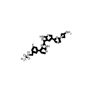 CS(=O)(=O)NCc1cc(F)cc(-c2ccnc3[nH]c(-c4n[nH]c5ncc(-c6cncc(N7CC(N)C7)n6)cc45)nc23)c1